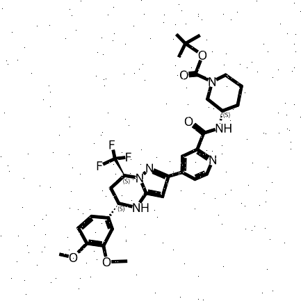 COc1ccc([C@@H]2C[C@@H](C(F)(F)F)n3nc(-c4ccnc(C(=O)N[C@H]5CCCN(C(=O)OC(C)(C)C)C5)c4)cc3N2)cc1OC